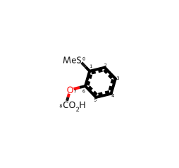 CSc1ccccc1OC(=O)O